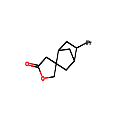 CC(C)C1CC2CC1CC21COC(=O)C1